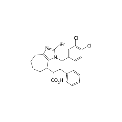 CC(C)c1nc2c(n1Cc1ccc(Cl)c(Cl)c1)C(C(Cc1ccccc1)C(=O)O)CCCC2